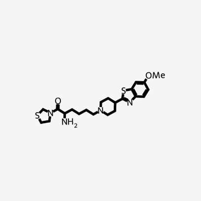 COc1ccc2nc(C3CCN(CCCCC(N)C(=O)N4CCSC4)CC3)sc2c1